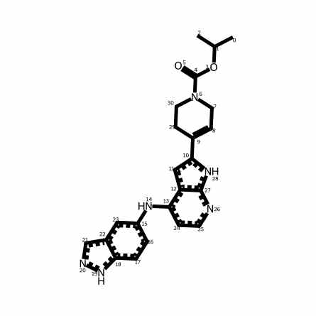 CC(C)OC(=O)N1CC=C(c2cc3c(Nc4ccc5[nH]ncc5c4)ccnc3[nH]2)CC1